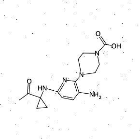 CC(=O)C1(Nc2ccc(N)c(N3CCN(C(=O)O)CC3)n2)CC1